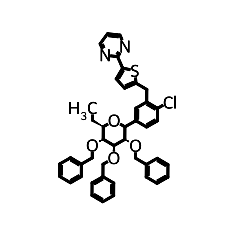 CC[C@H]1OC(c2ccc(Cl)c(Cc3ccc(-c4ncccn4)s3)c2)[C@H](OCc2ccccc2)[C@@H](OCc2ccccc2)[C@@H]1OCc1ccccc1